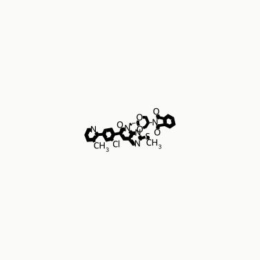 CSc1ncc2cc(-c3ccc(-c4ncccc4C)cc3Cl)c(=O)n(C[C@H]3OC[C@@H](N4C(=O)c5ccccc5C4=O)CO3)c2n1